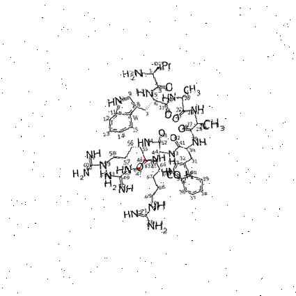 CC(C)[C@H](N)C(=O)N[C@@H](Cc1c[nH]c2ccccc12)C(=O)N[C@@H](C)C(=O)N[C@@H](C)C(=O)N[C@@H](Cc1c[nH]c2ccccc12)C(=O)N[C@@H](CCCNC(=N)N)C(=O)N[C@@H](CCCNC(=N)N)C(=O)N[C@@H](CCCNC(=N)N)C(=O)O